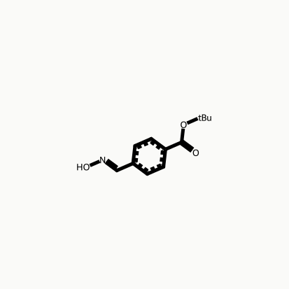 CC(C)(C)OC(=O)c1ccc(C=NO)cc1